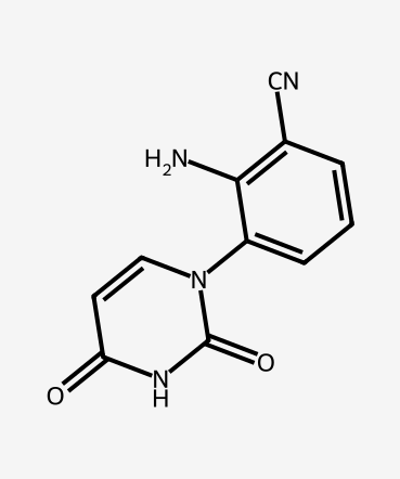 N#Cc1cccc(-n2ccc(=O)[nH]c2=O)c1N